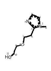 Cn1ccnc1CCOCCO